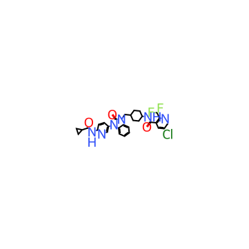 O=C(NC1CCC(Cn2c(=O)n(-c3ccc(NC(=O)C4CC4)nc3)c3ccccc32)CC1)c1cc(Cl)cnc1C(F)F